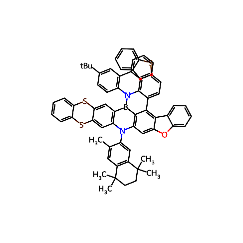 Cc1cc2c(cc1N1c3cc4c(cc3B3c5c1cc1oc6ccccc6c1c5-c1ccc5sc6ccccc6c5c1N3c1ccc(C(C)(C)C)cc1-c1ccccc1)Sc1ccccc1S4)C(C)(C)CCC2(C)C